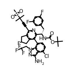 CC(C)(C)OC(=O)N[C@@H](Cc1cc(F)cc(F)c1)c1nc(C#CC(C)(C)S(C)(=O)=O)c2c(c1-c1ccc(Cl)c3c(N)nn(CC(F)(F)F)c13)CC(F)C2